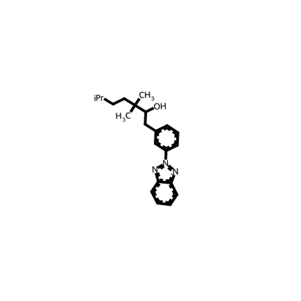 CC(C)CCC(C)(C)C(O)Cc1cccc(-n2nc3ccccc3n2)c1